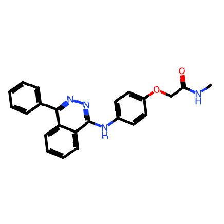 CNC(=O)COc1ccc(Nc2nnc(-c3ccccc3)c3ccccc23)cc1